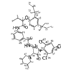 CCC(Oc1ccc(C(C)(C)CC)cc1C(C)(C)CC)C(=O)Nc1cccc(C(=O)NC2=NN(c3c(Cl)cc(Cl)cc3Cl)C(=O)C2N2CCCC(C)C2)c1